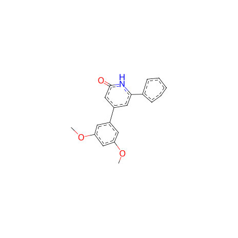 COc1cc(OC)cc(-c2cc(-c3ccccc3)[nH]c(=O)c2)c1